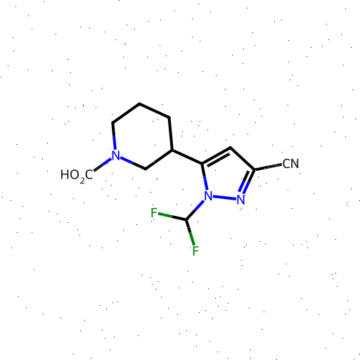 N#Cc1cc(C2CCCN(C(=O)O)C2)n(C(F)F)n1